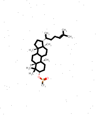 CC(C)=CCCC(C)[C@H]1CC[C@@]2(C)C3CC[C@H]4C(C)(C)[C@@H](OS(=O)C(F)(F)F)CC[C@]4(C)C3CC[C@]12C